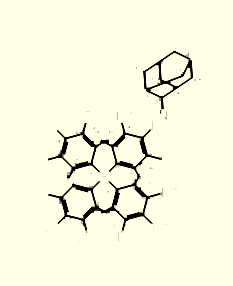 Fc1c(F)c(F)c([B-](c2c(F)c(F)c(F)c(F)c2F)(c2c(F)c(F)c(F)c(F)c2F)c2c(F)c(F)c(F)c(F)c2F)c(F)c1F.[NH3+]C1C2CC3CC(C2)CC1C3